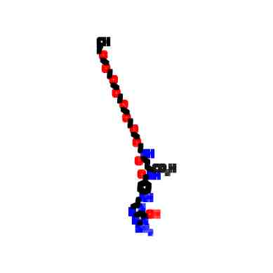 C#CCOCCOCCOCCOCCOCCOCCOCCOCCNC(=O)CCC(NC(=O)c1ccc(NCc2cnc3nc(N)nc(O)c3n2)cc1)C(=O)O